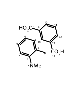 CNc1ccccc1C.O=C(O)c1cccc(C(=O)O)c1